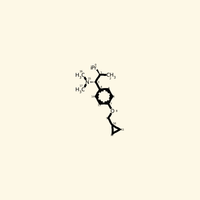 CC(C)[C@@H](C)[C@H](c1ccc(OCC2CC2)cc1)N(C)C